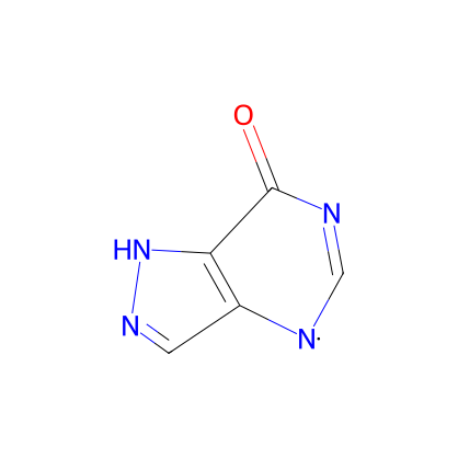 O=C1N=C[N]c2cn[nH]c21